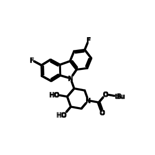 CC(C)(C)OC(=O)N1CC(O)C(O)C(n2c3ccc(F)cc3c3cc(F)ccc32)C1